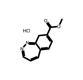 COC(=O)C1=CC=C2C=CC=NN=C2C1.Cl